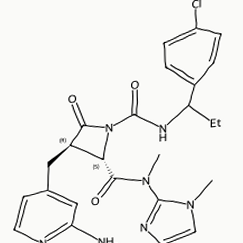 CCC(NC(=O)N1C(=O)[C@H](Cc2ccnc(N)c2)[C@H]1C(=O)N(C)c1nccn1C)c1ccc(Cl)cc1